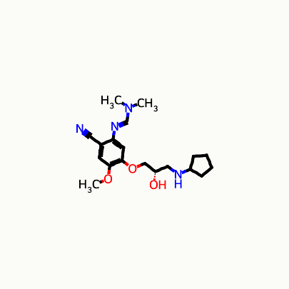 COc1cc(C#N)c(N=CN(C)C)cc1OC[C@@H](O)CNC1CCCC1